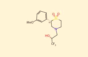 COc1cccc([C@H]2CN(CC(O)C(F)(F)F)CCS2(=O)=O)c1